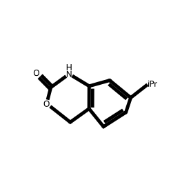 CC(C)c1ccc2c(c1)NC(=O)OC2